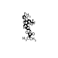 Cc1cc(C(F)(F)F)nc(-c2ccnc3cc(CN4C(=O)C5C(C4=O)C5(C)C)sc23)c1C(=O)N1CCC(F)C1